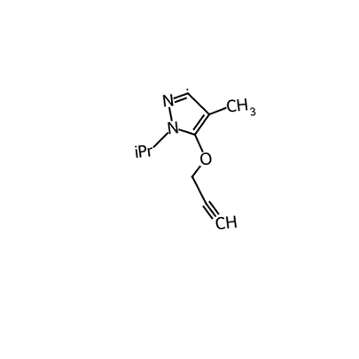 C#CCOc1c(C)[c]nn1C(C)C